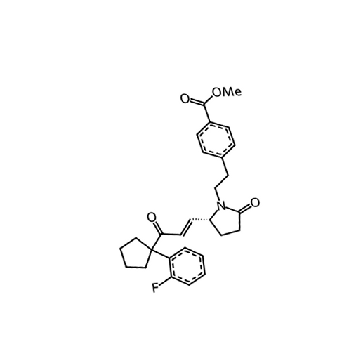 COC(=O)c1ccc(CCN2C(=O)CC[C@@H]2C=CC(=O)C2(c3ccccc3F)CCCC2)cc1